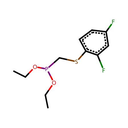 CCOP(CSc1ccc(F)cc1F)OCC